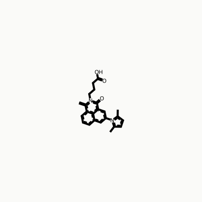 C=c1c2cccc3cc(-n4c(C)ccc4C)cc(c(=O)n1CCCC(=O)O)c32